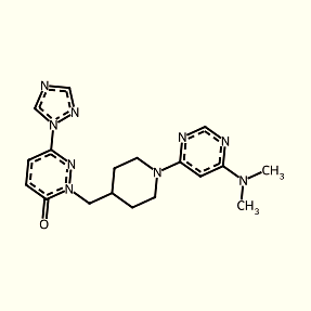 CN(C)c1cc(N2CCC(Cn3nc(-n4cncn4)ccc3=O)CC2)ncn1